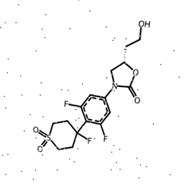 O=C1O[C@@H](CCO)CN1c1cc(F)c(C2(F)CCS(=O)(=O)CC2)c(F)c1